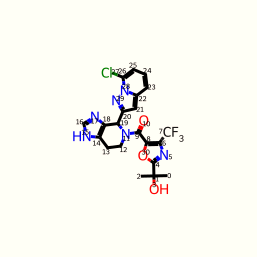 CC(C)(O)c1nc(C(F)(F)F)c(C(=O)N2CCc3[nH]cnc3C2c2cc3cccc(Cl)n3n2)o1